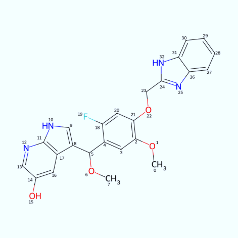 COc1cc(C(OC)c2c[nH]c3ncc(O)cc23)c(F)cc1OCc1nc2ccccc2[nH]1